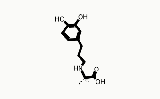 C[C@H](NCCCc1ccc(O)c(O)c1)C(=O)O